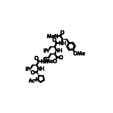 CNC(=O)[C@H](Cc1ccc(OC)cc1)NC(=O)[C@H](CC(C)C)N[C@H](CCCNC(=O)[C@H](CC(C)C)NC(=O)[C@@H]1CCCN1C(C)=O)C(=O)OC